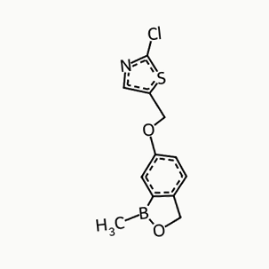 CB1OCc2ccc(OCc3cnc(Cl)s3)cc21